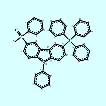 CP(=O)(c1ccccc1)c1ccc2c(c1)c1cc(S(c3ccccc3)(c3ccccc3)c3ccccc3)ccc1n2-c1ccccc1